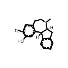 CN1CCc2cc(Cl)c(O)cc2[C@H]2c3ccccc3C[C@@H]21